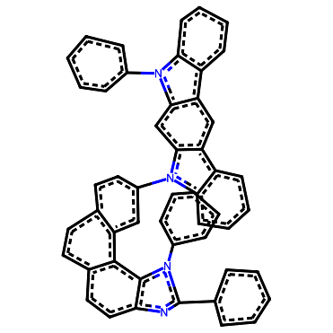 c1ccc(-c2nc3ccc4ccc5ccc(-n6c7ccccc7c7cc8c9ccccc9n(-c9ccccc9)c8cc76)cc5c4c3n2-c2ccccc2)cc1